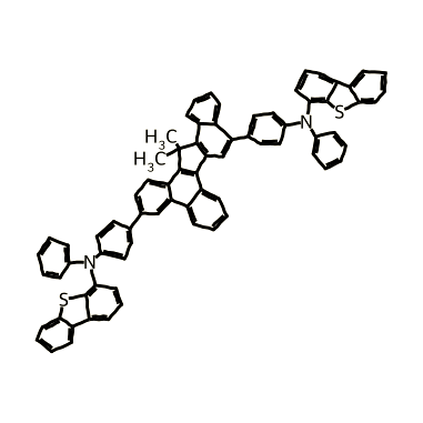 CC1(C)c2c(cc(-c3ccc(N(c4ccccc4)c4cccc5c4sc4ccccc45)cc3)c3ccccc23)-c2c1c1ccc(-c3ccc(N(c4ccccc4)c4cccc5c4sc4ccccc45)cc3)cc1c1ccccc21